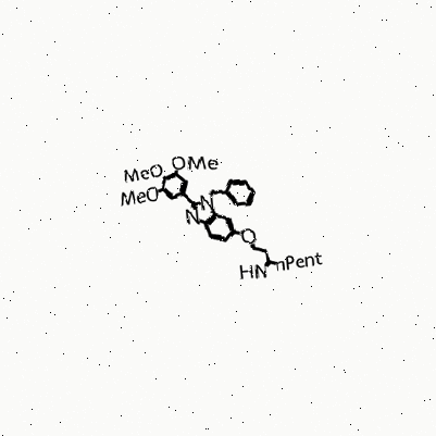 CCCCCC(=N)CCOc1ccc2nc(-c3cc(OC)c(OC)c(OC)c3)n(Cc3ccccc3)c2c1